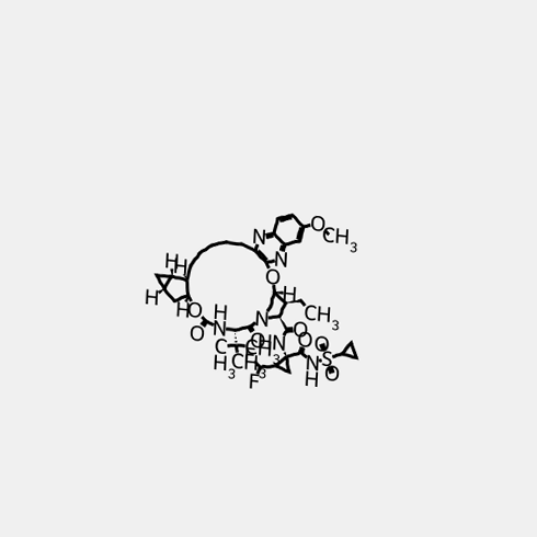 CC[C@@H]1[C@@H]2CN(C(=O)[C@H](C(C)(C)C)NC(=O)O[C@@H]3C[C@@H]4C[C@@H]4[C@H]3CCCCCc3nc4ccc(OC)cc4nc3O2)[C@@H]1C(=O)N[C@]1(C(=O)NS(=O)(=O)C2CC2)CC1C(F)F